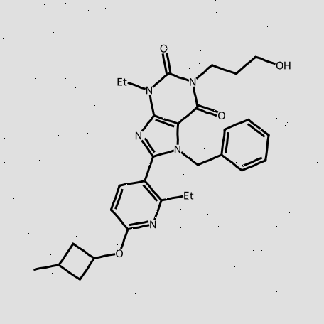 CCc1nc(OC2CC(C)C2)ccc1-c1nc2c(c(=O)n(CCCO)c(=O)n2CC)n1Cc1ccccc1